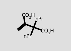 C=C(C(=O)O)C(CCC)(CCC)C(=O)O